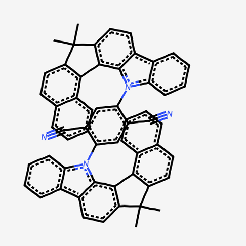 CC1(C)c2ccc3ccccc3c2-c2c1ccc1c3ccccc3n(-c3cc(C#N)c(-n4c5ccccc5c5ccc6c(c54)-c4c(ccc5ccccc45)C6(C)C)cc3C#N)c21